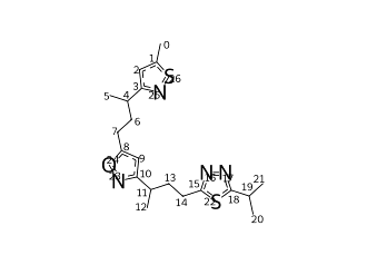 Cc1cc(C(C)CCc2cc(C(C)CCc3nnc(C(C)C)s3)no2)ns1